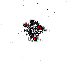 CCCCCC(CCC1=CCC2CC1C2(C)C)C(CCC1=CCC2CC1C2(C)C)(CCC1=CCC2CC1C2(C)C)C(=O)Nc1c(CCC2=CCC3CC2C3(C)C)c(CCC2=CCC3CC2C3(C)C)c(CCC2=CCC3CC2C3(C)C)c(O)c1S(=O)(=O)O